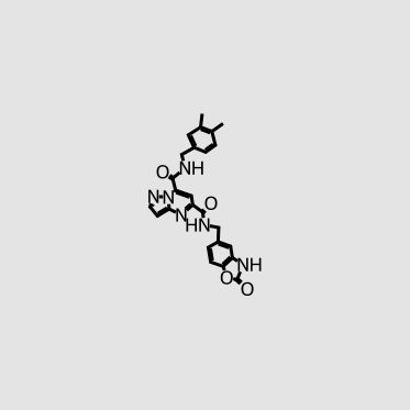 Cc1ccc(CNC(=O)c2cc(C(=O)NCc3ccc4oc(=O)[nH]c4c3)nc3ccnn23)cc1C